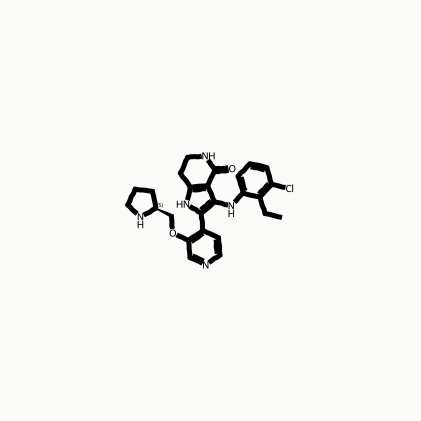 CCc1c(Cl)cccc1Nc1c(-c2ccncc2OC[C@@H]2CCCN2)[nH]c2c1C(=O)NCC2